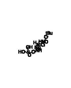 Cc1c(NC(=O)c2ccc(C(C)(C)C)cc2)cccc1-c1ncnc(Nc2ccc(C(=O)N(CCO)CCO)cc2)n1